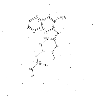 CCCc1nc2c(N)nc3ccccc3c2n1CCCC(=O)NC